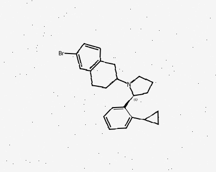 Brc1ccc2c(c1)CCC(N1CCC[C@H]1c1ccccc1C1CC1)C2